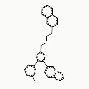 Cc1cccc(-c2nc(CNCCc3ccc4ccncc4c3)[nH]c2-c2ccc3ncnn3c2)n1